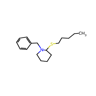 CCCCCSC1CCCCN1Cc1ccccc1